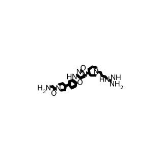 N=C(N)NCCCN1CCCC(n2cc3c(nc2=O)Nc2cc(C4CCN(C(=O)CN)CC4)ccc2O3)CC1